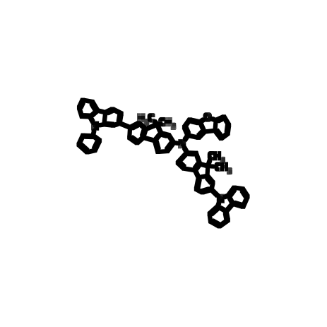 CC1(C)c2cc(-c3ccc4c5ccccc5n(-c5ccccc5)c4c3)ccc2-c2ccc(N(c3ccc4c(c3)C(C)(C)c3cc(-n5c6ccccc6c6ccccc65)ccc3-4)c3ccc4oc5ccccc5c4c3)cc21